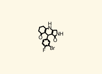 O=C1CCCC2=C1C(c1ccc(F)c(Br)c1)C1=C(CNC1=O)N2